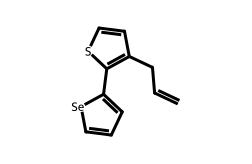 C=CCc1ccsc1-c1ccc[se]1